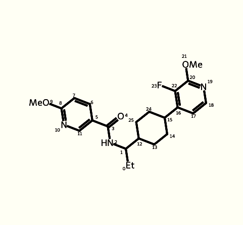 CCC(NC(=O)c1ccc(OC)nc1)C1CCC(c2ccnc(OC)c2F)CC1